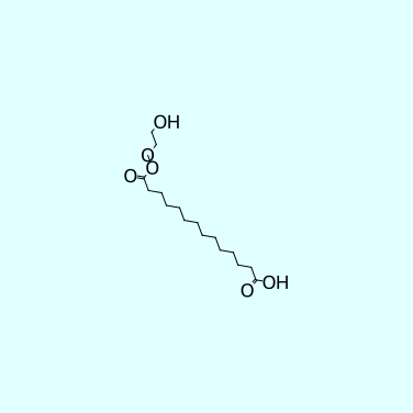 O=C(O)CCCCCCCCCCCCC(=O)OOCCO